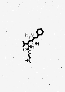 CC(C)C(CC(O)C(N)CC1CCCCC1)NC(=O)OCCN(C)C